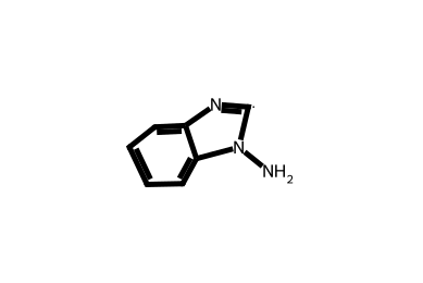 Nn1[c]nc2ccccc21